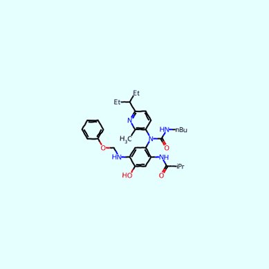 CCCCNC(=O)N(c1cc(NCOc2ccccc2)c(O)cc1NC(=O)C(C)C)c1ccc(C(CC)CC)nc1C